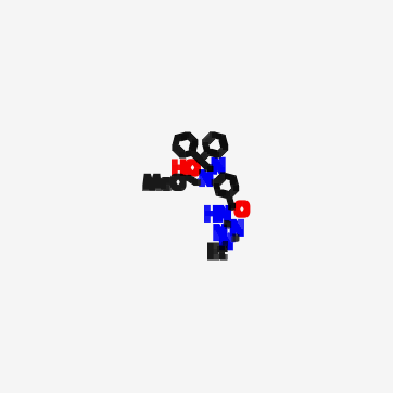 CCn1cnc(NC(=O)c2ccc3nc(C(O)(c4ccccc4)c4ccccc4)n(CCOC)c3c2)n1